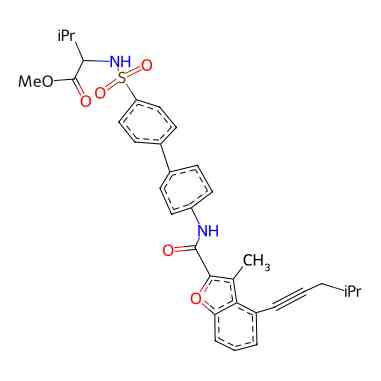 COC(=O)C(NS(=O)(=O)c1ccc(-c2ccc(NC(=O)c3oc4cccc(C#CCC(C)C)c4c3C)cc2)cc1)C(C)C